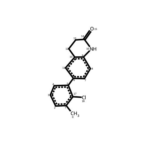 Cc1cccc(-c2ccc3c(c2)CCC(=O)N3)c1Cl